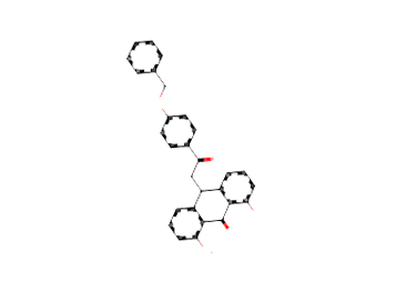 O=C(CC1c2cccc(O)c2C(=O)c2c(O)cccc21)c1ccc(OCc2ccccc2)cc1